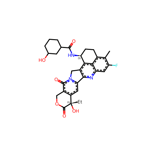 CC[C@@]1(O)C(=O)OCc2c1cc1n(c2=O)Cc2c-1nc1cc(F)c(C)c3c1c2[C@@H](NC(=O)C1CCCC(O)C1)CC3